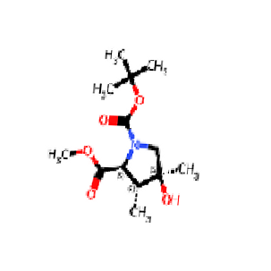 COC(=O)[C@@H]1[C@@H](C)[C@](C)(O)CN1C(=O)OC(C)(C)C